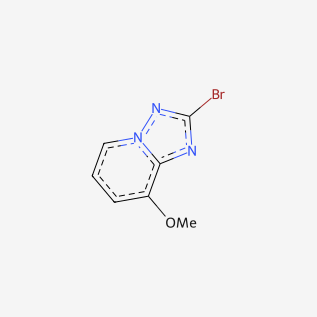 COc1cccn2nc(Br)nc12